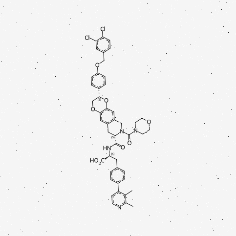 Cc1nccc(-c2ccc(C[C@H](NC(=O)[C@@H]3Cc4cc5c(cc4CN3C(=O)N3CCOCC3)O[C@@H](c3ccc(OCc4ccc(Cl)c(Cl)c4)cc3)CO5)C(=O)O)cc2)c1C